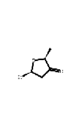 CC[C@@H]1CC(=O)[C@H](C)O1